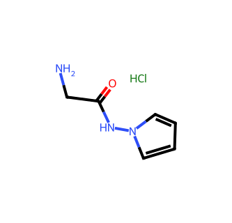 Cl.NCC(=O)Nn1cccc1